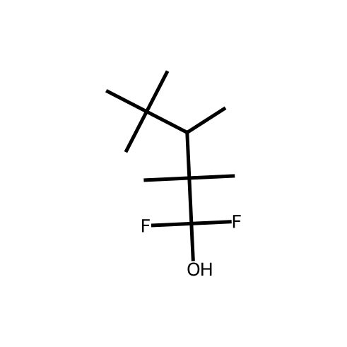 CC(C(C)(C)C)C(C)(C)C(O)(F)F